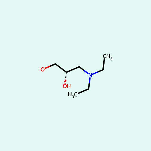 CCN(CC)C[C@H](O)C[O]